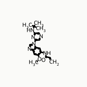 C=CC(=O)Nc1cc2c(cc1OC)ncn2-c1cncc(NC(C)(C)C)n1